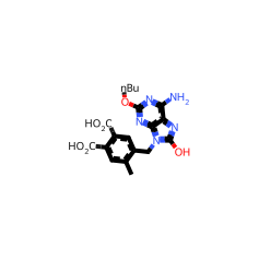 CCCCOc1nc(N)c2nc(O)n(Cc3cc(C(=O)O)c(C(=O)O)cc3C)c2n1